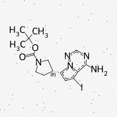 CC(C)(C)OC(=O)N1CC[C@@H](c2cc(I)c3c(N)ncnn23)C1